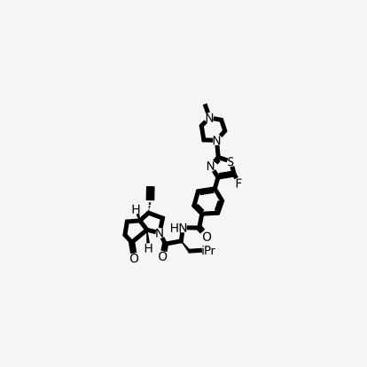 C#C[C@@H]1CN(C(=O)[C@H](CC(C)C)NC(=O)c2ccc(-c3nc(N4CCN(C)CC4)sc3F)cc2)[C@@H]2C(=O)CC[C@H]12